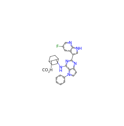 O=C(O)C1C2CCC(CC2)C1Nc1nc(-c2c[nH]c3ncc(F)cc23)nc2ccn(-c3ccccc3)c12